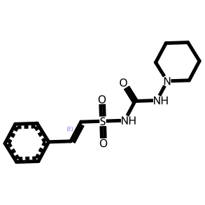 O=C(NN1CCCCC1)NS(=O)(=O)/C=C/c1ccccc1